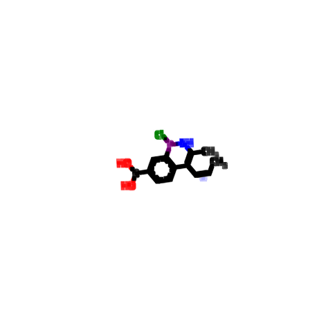 C/C=C\C1=C(C)NP(Cl)c2cc(B(O)O)ccc21